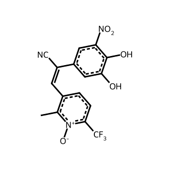 Cc1c(/C=C(/C#N)c2cc(O)c(O)c([N+](=O)[O-])c2)ccc(C(F)(F)F)[n+]1[O-]